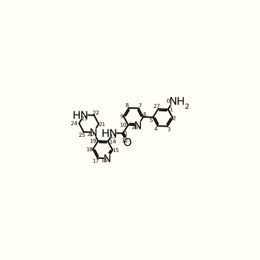 Nc1cccc(-c2cccc(C(=O)Nc3cnccc3N3CCNCC3)n2)c1